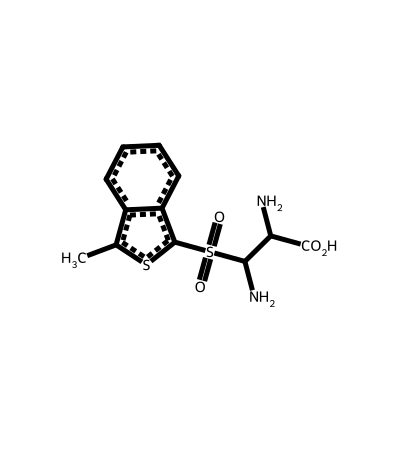 Cc1sc(S(=O)(=O)C(N)C(N)C(=O)O)c2ccccc12